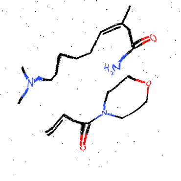 C=CC(=O)N1CCOCC1.CC(=CCCCN(C)C)C(N)=O